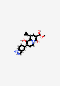 COC(=O)c1cc(C2CC2)c2c(OC)c(-c3ccc4[nH]ncc4c3)ccn2c1=O